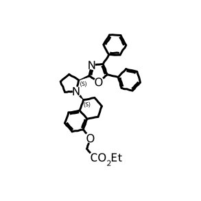 CCOC(=O)COc1cccc2c1CCC[C@@H]2N1CCC[C@H]1c1nc(-c2ccccc2)c(-c2ccccc2)o1